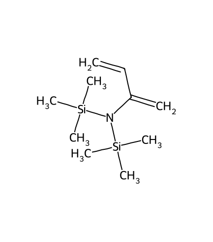 C=CC(=C)N([Si](C)(C)C)[Si](C)(C)C